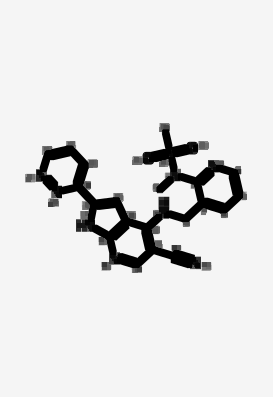 CN(c1ncccc1CNc1c(C#N)cnc2[nH]c(-c3cccnn3)cc12)S(C)(=O)=O